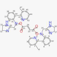 Cc1cccnc1-c1ccccc1N(CC1=NCCN1)OC(=O)/C=C/C(=O)ON(CC1=NCCN1)c1ccccc1-c1ncccc1C